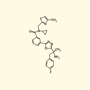 Cc1csc(CN(C(=O)c2cccc(-c3nnc([C@](C)(N)Cc4ccc(F)cc4)o3)c2)C2CC2)n1